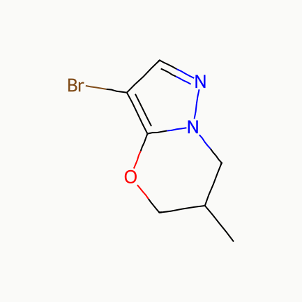 CC1COc2c(Br)cnn2C1